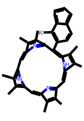 CC1=C(C)c2cc3[nH]c(c(C)c3C)c(-c3ccc4ccccc4c3C#N)c3nc(cc4[nH]c(cc1n2)c(C)c4C)C(C)=C3C